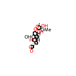 CO[C@H]1[C@H](O)[C@H](O[C@H]2CC[C@@]3(C=O)[C@H](CC[C@@H]4[C@@H]3CC[C@]3(C)[C@@H](C5=CC(=O)OC5)CC[C@]43O)C2)O[C@@H](C)[C@@H]1O